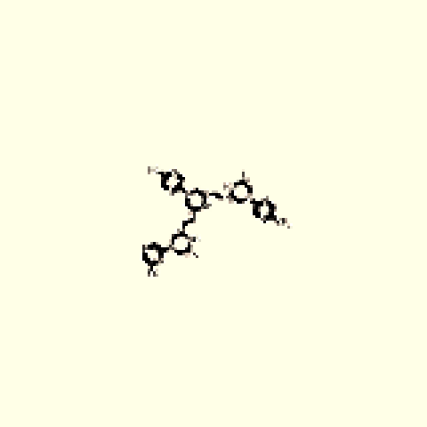 C[C@@H]1CN(c2cnc(C(F)(F)F)cn2)C[C@H](CC[C@@H]2CN(c3cnc(C#N)cn3)C[C@H](CC[C@@H]3CN(c4cncc(C#N)n4)C[C@@H](C)N3)N2)N1